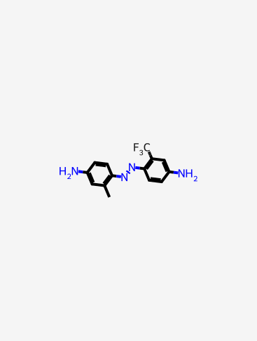 Cc1cc(N)ccc1N=Nc1ccc(N)cc1C(F)(F)F